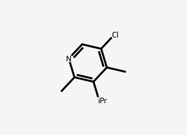 Cc1ncc(Cl)c(C)c1C(C)C